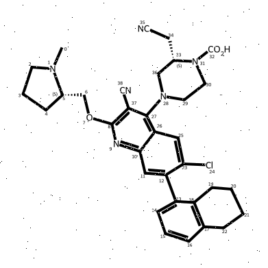 CN1CCC[C@H]1COc1nc2cc(-c3cccc4c3CCCC4)c(Cl)cc2c(N2CCN(C(=O)O)[C@@H](CC#N)C2)c1C#N